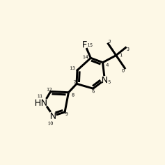 CC(C)(C)c1ncc(-c2cn[nH]c2)cc1F